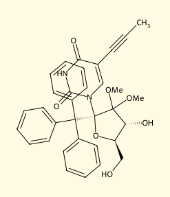 CC#Cc1cn([C@]2(C(c3ccccc3)(c3ccccc3)c3ccccc3)O[C@H](CO)[C@@H](O)C2(OC)OC)c(=O)[nH]c1=O